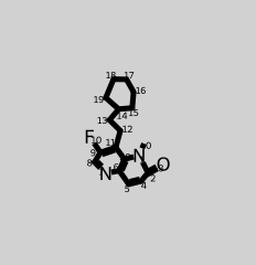 Cn1c(=O)ccc2ncc(F)c(CCC3CCCCC3)c21